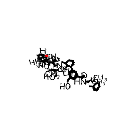 COc1c(CN2O[C@@H](CO)[C@H]([C@H](C)O)C2C(=O)N[C@H]2C[C@H]3C[C@@H]([C@@H]2C)C3(C)C)cccc1-c1cc(CO)cc(C(=O)N[C@@H](Cc2ccccc2)CN(C)C)c1